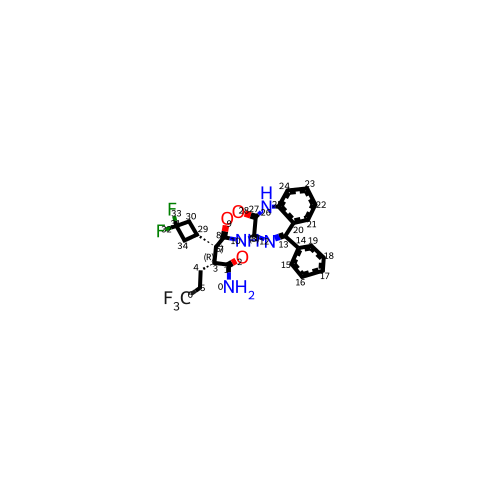 NC(=O)[C@H](CCC(F)(F)F)[C@@H](C(=O)N[C@H]1N=C(c2ccccc2)c2ccccc2NC1=O)C1CC(F)(F)C1